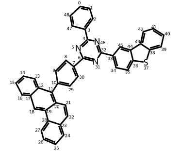 c1ccc(-c2nc(-c3ccc(-c4c5ccccc5cc5c4ccc4ccccc45)cc3)nc(-c3ccc4sc5ccccc5c4c3)n2)cc1